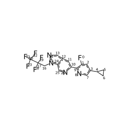 Fc1cc(C2CC2)cnc1-c1cc2cnn(CC(F)(F)C(F)(F)F)c2cn1